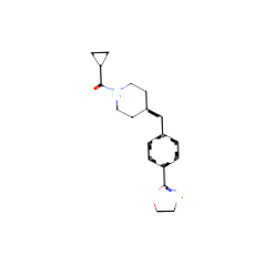 O=C(C1CC1)N1CCC(=Cc2ccc(C3=NCCO3)cc2)CC1